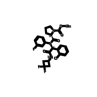 CC(C)(C)OC(=O)N1CCC[C@H]1C(=O)N(c1cccc(F)c1)[C@H](C(=O)NC1CC(F)(F)C1)c1ccccc1Cl